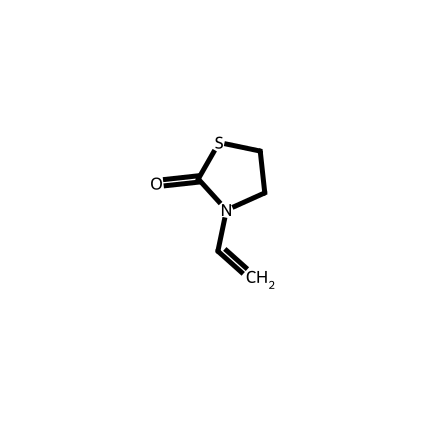 C=CN1CCSC1=O